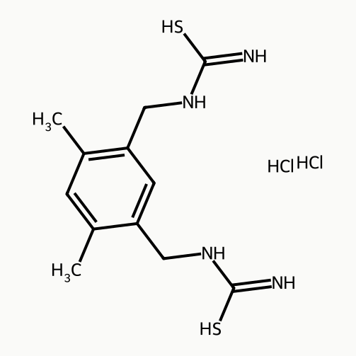 Cc1cc(C)c(CNC(=N)S)cc1CNC(=N)S.Cl.Cl